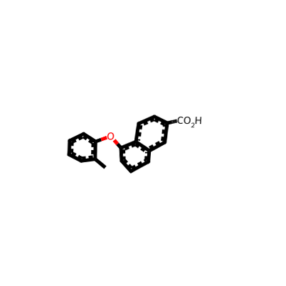 Cc1ccccc1Oc1cccc2cc(C(=O)O)ccc12